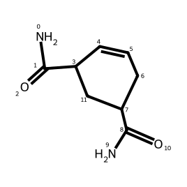 NC(=O)C1C=CCC(C(N)=O)C1